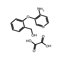 Nc1ccncc1Oc1ccccc1CO.O=C(O)C(=O)O